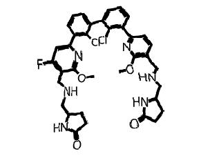 COc1nc(-c2cccc(-c3cccc(-c4cc(F)c(CNCC5CCC(=O)N5)c(OC)n4)c3Cl)c2Cl)ccc1CNCC1CCC(=O)N1